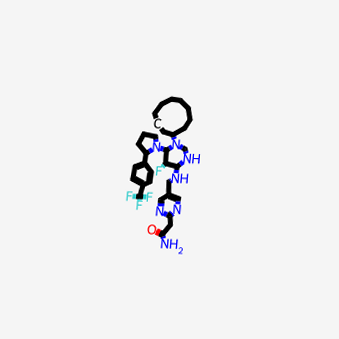 NC(=O)Cc1ncc(CNC2NCN(C3CCCCCCCCC3)C(N3CCCC3c3ccc(C(F)(F)F)cc3)C2F)cn1